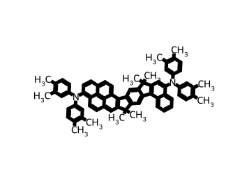 Cc1ccc(N(c2ccc(C)c(C)c2)c2cc3c(c4ccccc24)-c2cc4c(cc2C3(C)C)-c2c(cc3ccc5c(N(c6ccc(C)c(C)c6)c6ccc(C)c(C)c6)ccc6ccc2c3c65)C4(C)C)cc1C